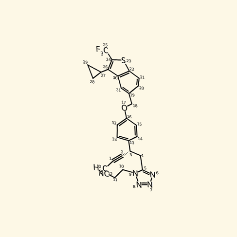 CC#C[C@@H](Cc1nnnn1CCC#N)c1ccc(OCc2ccc3sc(C(F)(F)F)c(C4CC4)c3c2)cc1